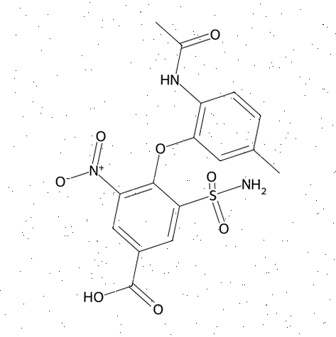 CC(=O)Nc1ccc(C)cc1Oc1c([N+](=O)[O-])cc(C(=O)O)cc1S(N)(=O)=O